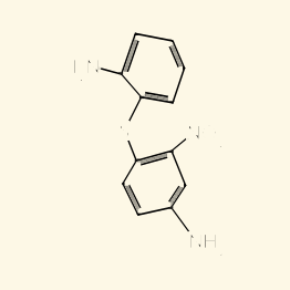 Nc1ccc(Sc2ccccc2N)c([N+](=O)[O-])c1